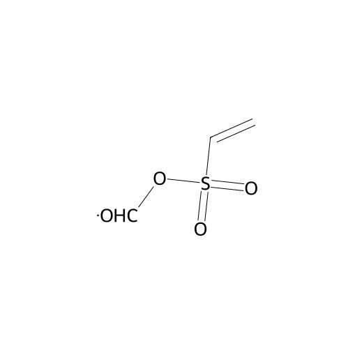 C=CS(=O)(=O)O[C]=O